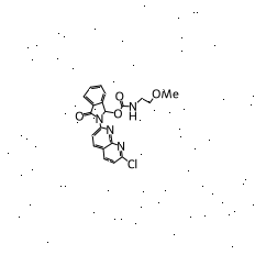 COCCNC(=O)OC1c2ccccc2C(=O)N1c1ccc2ccc(Cl)nc2n1